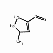 CC1C=C(N=O)NN1